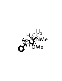 CNC(C)(C)c1nc(OC)c(OC(=O)c2ccccc2)c(C(C)=O)n1